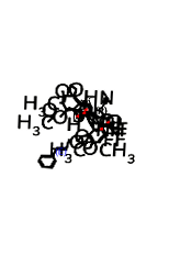 COc1c(C)cc2c(c1OOC/C=C/c1ccccc1)C1NC(C2)[C@H](C#N)N2C1[C@@H]1SCC(NC(=O)C(F)(F)F)C(=O)OC[C@H]2c2c3c(c(C)c(OC(C)=O)c21)OCO3